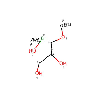 CCCCOCC(O)CO.OCl.[AlH3]